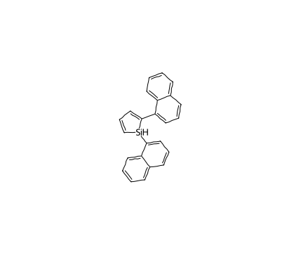 C1=C[SiH](c2cccc3ccccc23)C(c2cccc3ccccc23)=C1